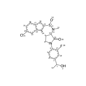 CC(O)c1ccc(N2CCC(N(C)[S+]([O-])c3cc4ccc(Cl)cc4s3)C2=O)c(F)c1